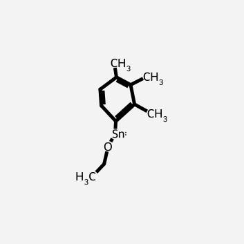 CC[O][Sn][c]1ccc(C)c(C)c1C